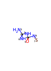 N=C(N)NC(=O)N=S